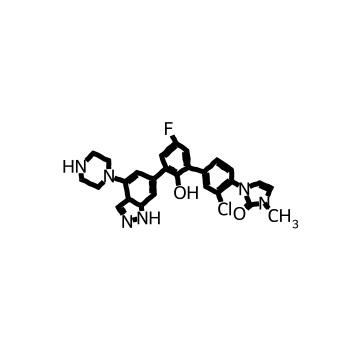 Cn1ccn(-c2ccc(-c3cc(F)cc(C4=CC5NN=CC5C(N5CCNCC5)=C4)c3O)cc2Cl)c1=O